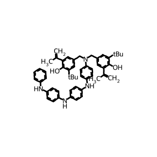 C=C(C)c1cc(CN(Cc2cc(C(=C)C)c(O)c(C(C)(C)C)c2)c2ccc(Nc3ccc(Nc4ccc(Nc5ccccc5)cc4)cc3)cc2)cc(C(C)(C)C)c1O